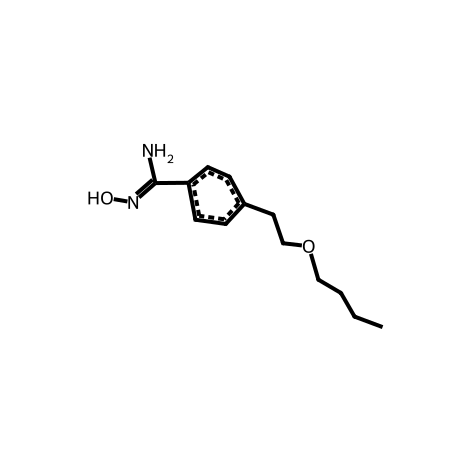 CCCCOCCc1ccc(C(N)=NO)cc1